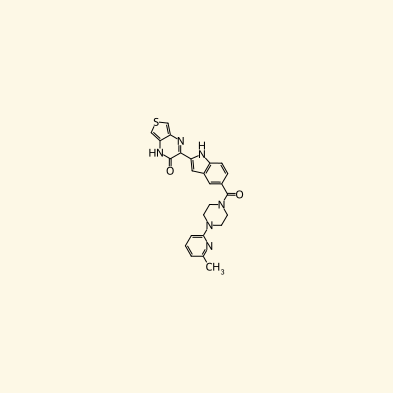 Cc1cccc(N2CCN(C(=O)c3ccc4[nH]c(-c5nc6cscc6[nH]c5=O)cc4c3)CC2)n1